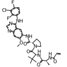 C=CC(=O)N[C@@H](C)C(=O)N[C@H](C(=O)N1CCC[C@H]1C(=O)Nc1cc2c(Nc3ccc(F)c(Cl)c3F)ncnc2cc1OC)C(C)(C)C